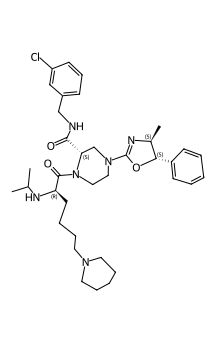 CC(C)N[C@H](CCCCN1CCCCC1)C(=O)N1CCN(C2=N[C@@H](C)[C@H](c3ccccc3)O2)C[C@H]1C(=O)NCc1cccc(Cl)c1